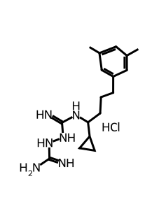 Cc1cc(C)cc(CCCC(NC(=N)NNC(=N)N)C2CC2)c1.Cl